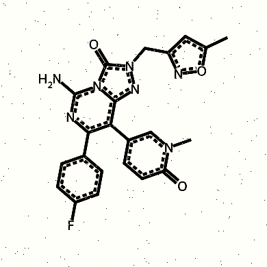 Cc1cc(Cn2nc3c(-c4ccc(=O)n(C)c4)c(-c4ccc(F)cc4)nc(N)n3c2=O)no1